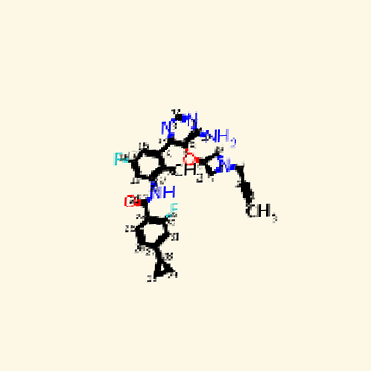 CC#CCN1CC(Oc2c(N)ncnc2-c2cc(F)cc(NC(=O)c3ccc(C4CC4)cc3F)c2C)C1